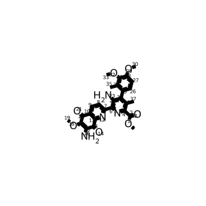 COC(=O)c1nc(-c2ccc3c(n2)C(=O)C(N)=C(OC)C3=O)c(N)c(-c2ccc(OC)c(OC)c2C)c1C